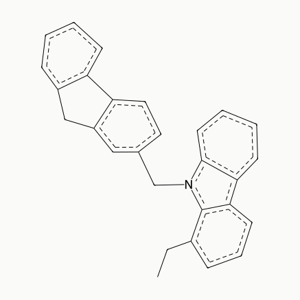 CCc1cccc2c3ccccc3n(Cc3ccc4c(c3)Cc3ccccc3-4)c12